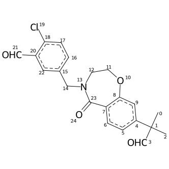 CC(C)(C=O)c1ccc2c(c1)OCCN(Cc1ccc(Cl)c(C=O)c1)C2=O